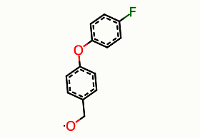 [O]Cc1ccc(Oc2ccc(F)cc2)cc1